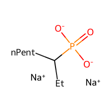 CCCCCC(CC)P(=O)([O-])[O-].[Na+].[Na+]